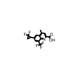 Cc1cc(C(=O)O)nc2c(C(F)(F)F)cc(C3CC3(F)F)cc12